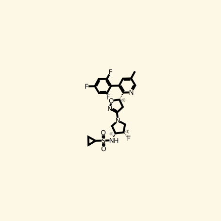 Cc1cnc([C@@H]2CC(N3C[C@H](F)[C@H](NS(=O)(=O)C4CC4)C3)=NO2)c(-c2c(F)cc(F)cc2F)c1